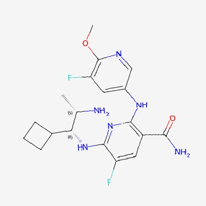 COc1ncc(Nc2nc(N[C@H](C3CCC3)[C@H](C)N)c(F)cc2C(N)=O)cc1F